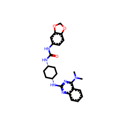 CN(C)c1nc(N[C@H]2CC[C@@H](NC(=O)Nc3ccc4c(c3)OCO4)CC2)nc2ccccc12